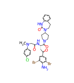 CN(CC(=O)N[C@@H](CC(=O)c1cc(Br)c(N)c(Br)c1)C(=O)N1CCC(N2CCc3ccccc3NC2=O)CC1)c1ccc(Cl)cc1